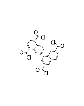 O=C(Cl)c1ccc(C(=O)Cl)c2ccccc12.O=C(Cl)c1ccc2cc(C(=O)Cl)ccc2c1